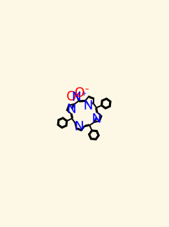 O=[N+]([O-])C1=C2C=CC(=N2)C(c2ccccc2)=C2C=CC(=N2)C(c2ccccc2)=C2C=CC(=N2)C(c2ccccc2)=C2C=CC1=N2